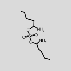 CCCCC(N)OS(=O)(=O)OC(N)CCCC